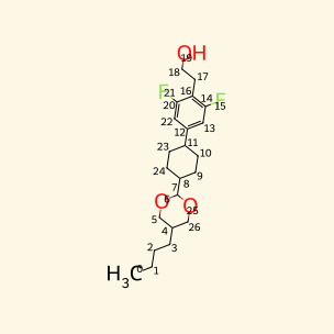 CCCCC1COC(C2CCC(c3cc(F)c(CCO)c(F)c3)CC2)OC1